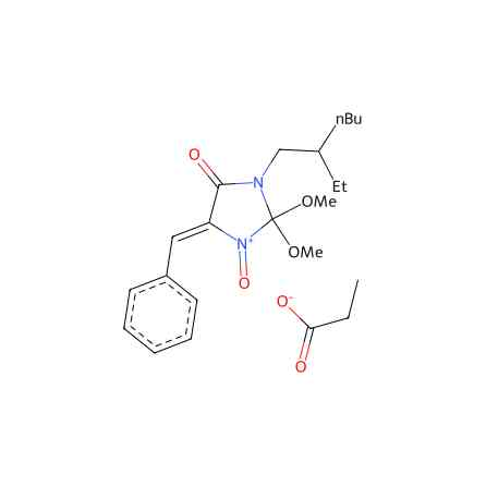 CCC(=O)[O-].CCCCC(CC)CN1C(=O)C(=Cc2ccccc2)[N+](=O)C1(OC)OC